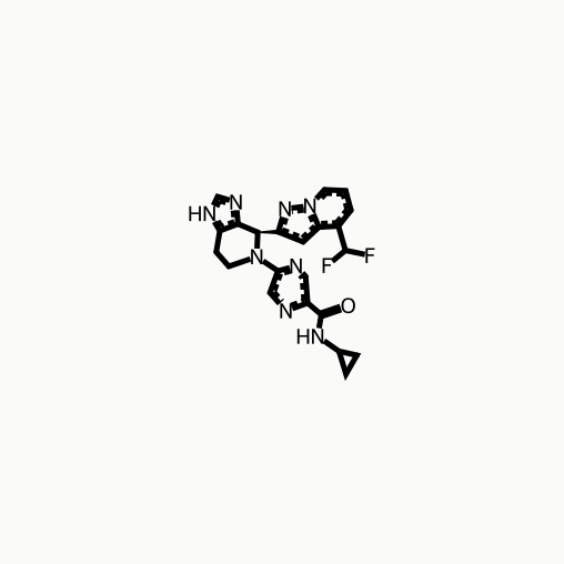 O=C(NC1CC1)c1cnc(N2CCc3[nH]cnc3[C@H]2c2cc3c(C(F)F)cccn3n2)cn1